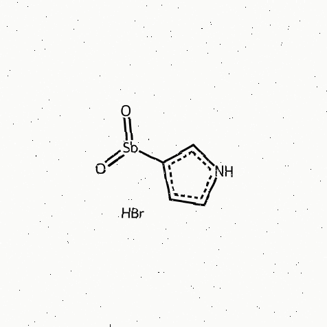 Br.[O]=[Sb](=[O])[c]1cc[nH]c1